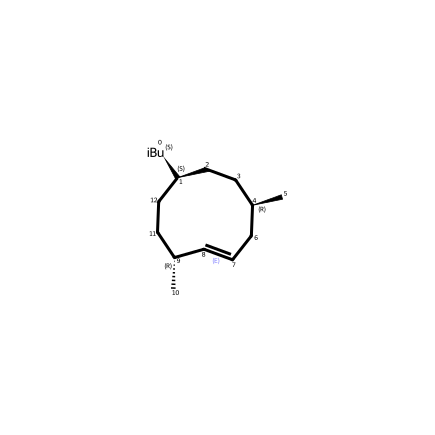 CC[C@H](C)[C@H]1CC[C@@H](C)C/C=C/[C@H](C)CC1